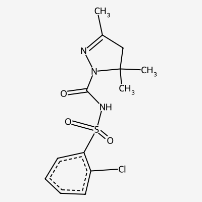 CC1=NN(C(=O)NS(=O)(=O)c2ccccc2Cl)C(C)(C)C1